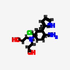 NC1=CCC(Cl)(N(CCO)CCO)C=C1c1ccc[nH]1